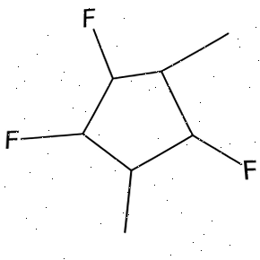 CC1C(F)C(C)C(F)C1F